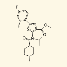 COC(=O)c1cc(-c2ccc(F)cc2F)sc1N(C(=O)C1CCC(C)CC1)C(C)C